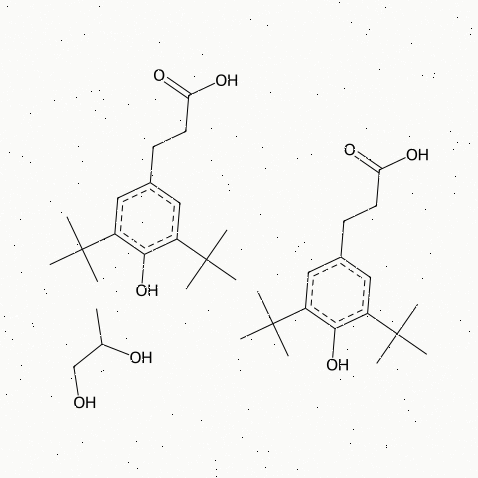 CC(C)(C)c1cc(CCC(=O)O)cc(C(C)(C)C)c1O.CC(C)(C)c1cc(CCC(=O)O)cc(C(C)(C)C)c1O.CC(O)CO